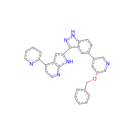 c1ccc(COc2cncc(-c3ccc4[nH]nc(-c5cc6c(-c7ccccn7)ccnc6[nH]5)c4c3)c2)cc1